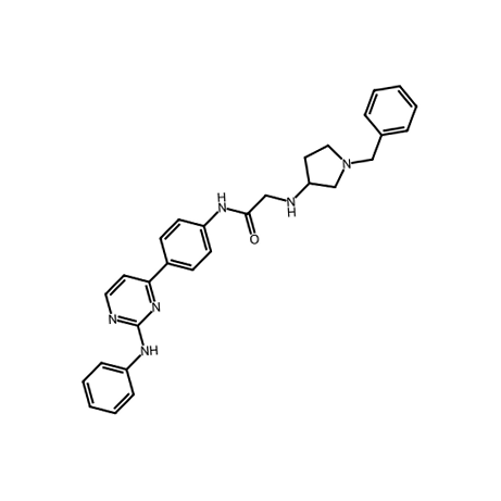 O=C(CNC1CCN(Cc2ccccc2)C1)Nc1ccc(-c2ccnc(Nc3ccccc3)n2)cc1